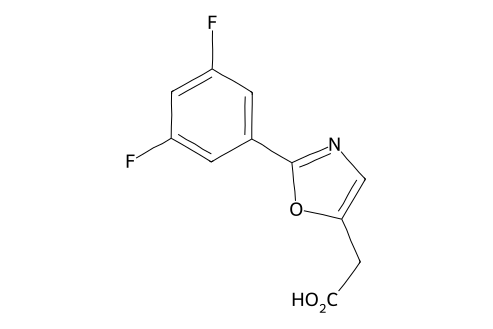 O=C(O)Cc1cnc(-c2cc(F)cc(F)c2)o1